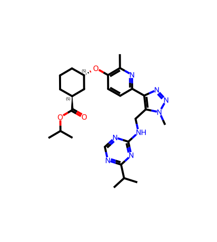 Cc1nc(-c2nnn(C)c2CNc2ncnc(C(C)C)n2)ccc1O[C@H]1CCC[C@H](C(=O)OC(C)C)C1